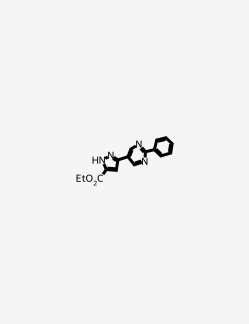 CCOC(=O)c1cc(-c2cnc(-c3ccccc3)nc2)n[nH]1